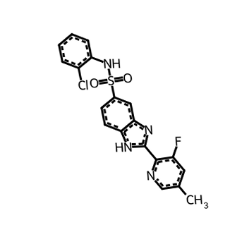 Cc1cnc(-c2nc3cc(S(=O)(=O)Nc4ccccc4Cl)ccc3[nH]2)c(F)c1